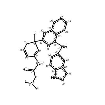 CN(C)CC(=O)NC1=CC(C)(c2nc(Nc3ccc4[nH]ncc4c3)c3ccccc3n2)CC=C1